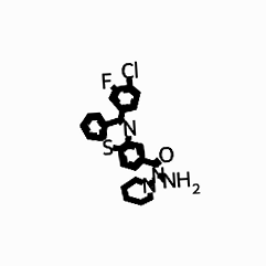 NN(C(=O)c1ccc2c(c1)N=C(c1ccc(Cl)c(F)c1)c1ccccc1S2)N1CCCCC1